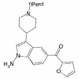 CCCCCN1CCC(c2cn(N)c3ccc(C(=O)c4ccco4)cc23)CC1